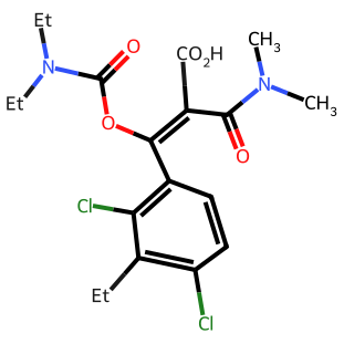 CCc1c(Cl)ccc(C(OC(=O)N(CC)CC)=C(C(=O)O)C(=O)N(C)C)c1Cl